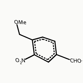 COCc1ccc([C]=O)cc1[N+](=O)[O-]